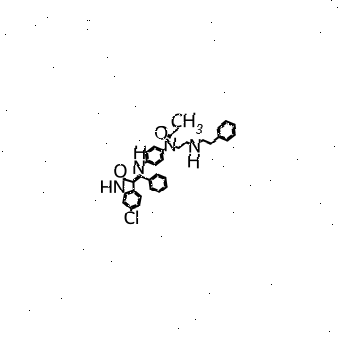 CCC(=O)N(CCNCCc1ccccc1)c1ccc(N/C(=C2\C(=O)Nc3cc(Cl)ccc32)c2ccccc2)cc1